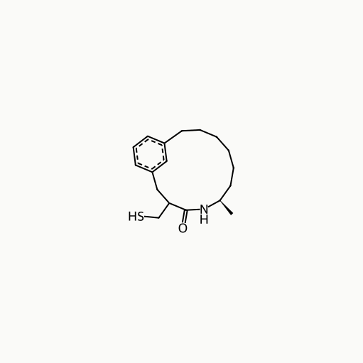 C[C@@H]1CCCCCCc2cccc(c2)CC(CS)C(=O)N1